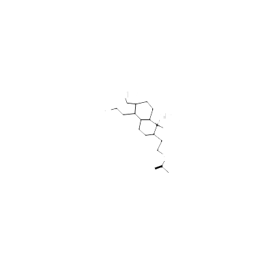 C=C(C)OCCC1CCC2C(CCC=O)[C@@](C)(CCl)CCC2[C@@]1(C)CCC